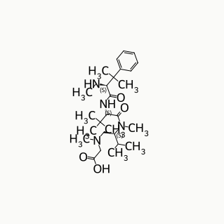 CN[C@H](C(=O)N[C@H](C(=O)N(C)[C@H](CN(C)CC(=O)O)C(C)C)C(C)(C)C)C(C)(C)c1ccccc1